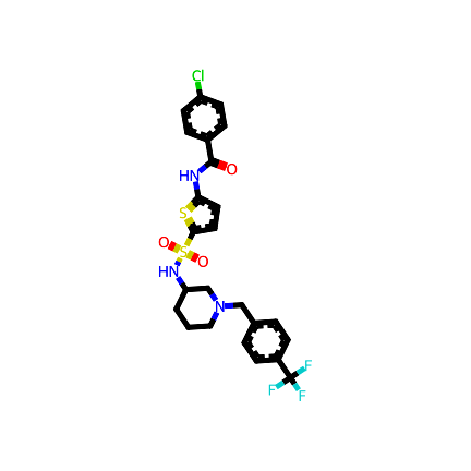 O=C(Nc1ccc(S(=O)(=O)NC2CCCN(Cc3ccc(C(F)(F)F)cc3)C2)s1)c1ccc(Cl)cc1